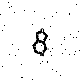 [c]1nccc2cocc12